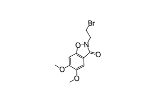 COc1cc2on(CCBr)c(=O)c2cc1OC